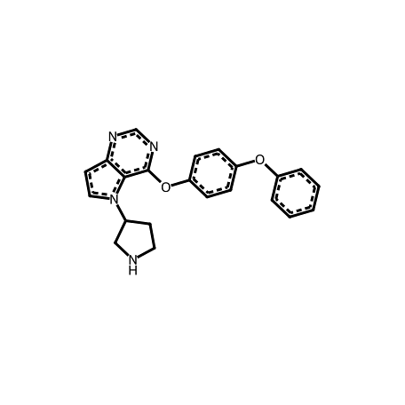 c1ccc(Oc2ccc(Oc3ncnc4ccn(C5CCNC5)c34)cc2)cc1